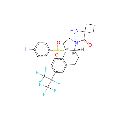 NC1(C(=O)N2CC[C@@]3(S(=O)(=O)c4ccc(I)cc4)c4ccc(C(F)(C(F)(F)F)C(F)(F)F)cc4CC[C@@H]23)CCC1